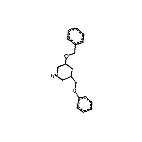 c1ccc(COC2CNCC(COc3ccccc3)C2)cc1